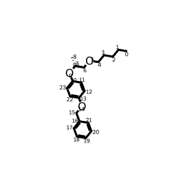 CCCCCOC[C@@H](C)Oc1ccc(OCc2ccccc2)cc1